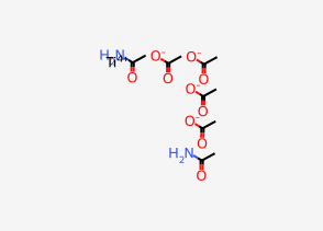 CC(=O)[O-].CC(=O)[O-].CC(=O)[O-].CC(=O)[O-].CC(N)=O.CC(N)=O.[Ti+4]